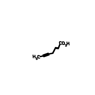 CC#CCC=CC(=O)O